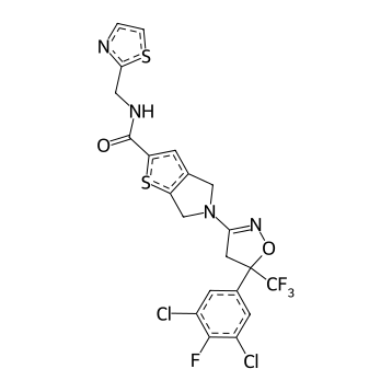 O=C(NCc1nccs1)c1cc2c(s1)CN(C1=NOC(c3cc(Cl)c(F)c(Cl)c3)(C(F)(F)F)C1)C2